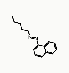 CCCCC/N=N/c1cccc2ccccc12